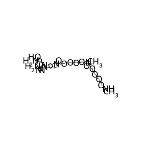 CNCCOCCOCCOCCOCCC(=O)N(C)CCOCCOCCOCCOCCC(=O)N1CCc2cc(Cn3nc(-c4ccc(O)c(N)c4)c4c(N)ncnc43)ccc2C1